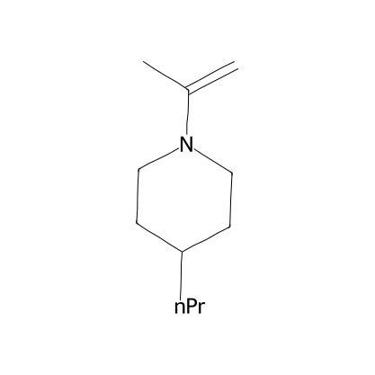 C=C(C)N1CCC(CCC)CC1